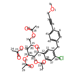 COCC#Cc1ccc(Cc2cc([C@@H]3O[C@H](COC(C)=O)[C@@H](OC(C)=O)[C@H](OC(C)=O)[C@H]3OC(C)=O)ccc2Cl)cc1